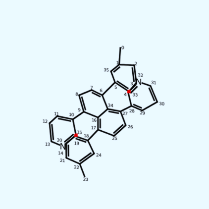 Cc1cccc(-c2ccc(-c3cccnc3)c3c(-c4cccc(C)c4)ccc(-c4cccnc4)c23)c1